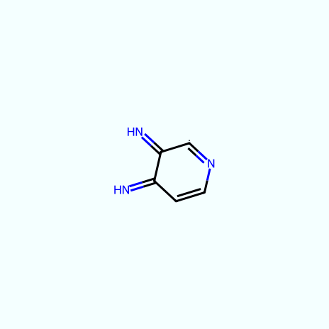 N=C1[C]=NC=CC1=N